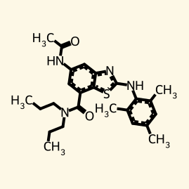 CCCN(CCC)C(=O)c1cc(NC(C)=O)cc2nc(Nc3c(C)cc(C)cc3C)sc12